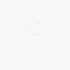 Cc1cc([SH2+])c(C)c(C)c1C.F[B-](F)(F)F